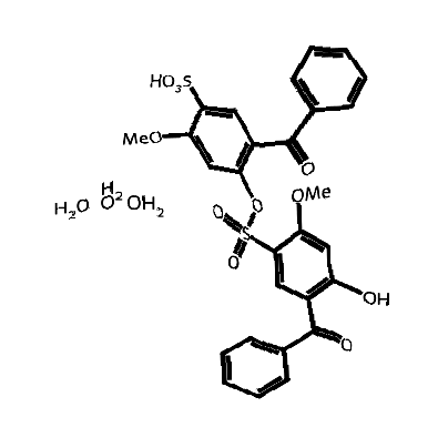 COc1cc(OS(=O)(=O)c2cc(C(=O)c3ccccc3)c(O)cc2OC)c(C(=O)c2ccccc2)cc1S(=O)(=O)O.O.O.O